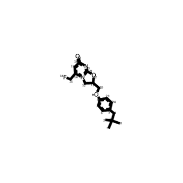 CC(C)(C)Cc1ccc(OCC2Cn3c(CF)cc(=O)nc3O2)cc1